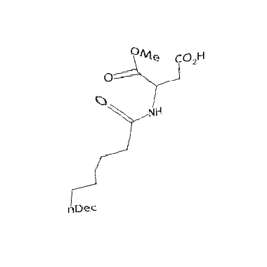 CCCCCCCCCCCCCCC(=O)NC(CC(=O)O)C(=O)OC